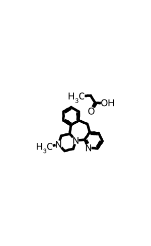 CCC(=O)O.CN1CCN2c3ncccc3Cc3ccccc3C2C1